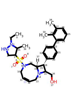 CCN1NCC(S(=O)(=O)N2C/C=C\CN3C(CO)[C@@H](c4ccc(-c5cccc(C)c5C)cc4)[C@@H]3C2)C1C